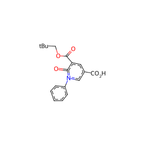 CC(C)(C)COC(=O)c1cc(C(=O)O)cn(-c2ccccc2)c1=O